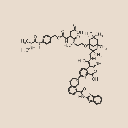 CNC(C)C(=O)Nc1ccc(COC(=O)N[C@@H](CC(=O)O)C(=O)N(C)CCOC23CC(C)(C)CC(C)(CC(C)(CN/C(C)=C(\C=N)c4ccc(N5CCc6cccc(C(=O)Nc7nc8ccccc8s7)c6C5)nc4C(=O)O)C2)C3)cc1